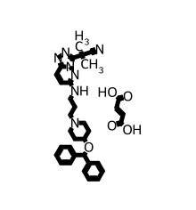 CC(C)(C#N)c1nnc2ccc(NCCCN3CCC(OC(c4ccccc4)c4ccccc4)CC3)nn12.O=C(O)C=CC(=O)O